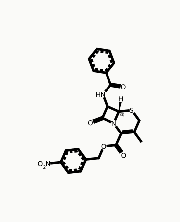 CC1=C(C(=O)OCc2ccc([N+](=O)[O-])cc2)N2C(=O)C(NC(=O)c3ccccc3)[C@@H]2SC1